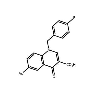 CC(=O)c1ccc2c(c1)c(=O)c(C(=O)O)cn2Cc1ccc(F)cc1